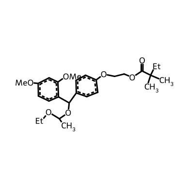 CCOC(C)OC(c1ccc(OCCOC(=O)C(C)(C)CC)cc1)c1ccc(OC)cc1OC